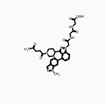 COC(=O)CNC(=O)CNC(=O)Cn1nc(C2CCN(C(=O)CCC(N)=O)CC2)c2c(-c3cc4c(cnn4C)cc3F)cccc21